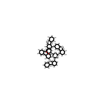 c1ccc(-c2nc(-c3cccc4c3oc3ccccc34)nc(-c3cccc4oc5ccc(-c6cc(-n7c8ccccc8c8ccccc87)cc7oc8ccccc8c67)cc5c34)n2)cc1